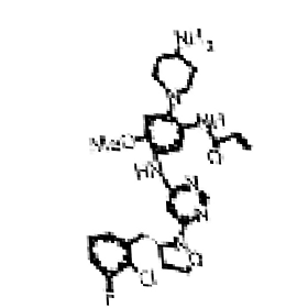 C=CC(=O)Nc1cc(Nc2cc(N3OCC[C@@H]3Cc3cccc(F)c3Cl)ncn2)c(OC)cc1N1CCC(N)CC1